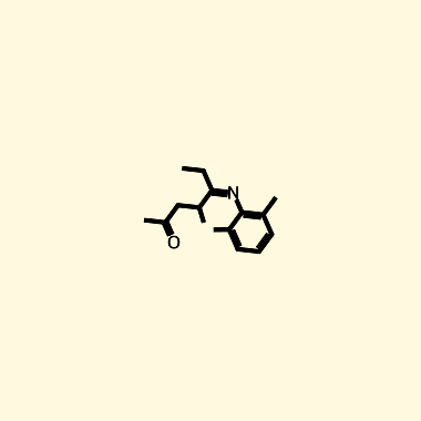 CC/C(=N/c1c(C)cccc1C)C(C)CC(C)=O